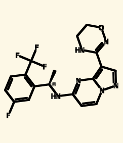 C[C@@H](Nc1ccn2ncc(C3=NOCCN3)c2n1)c1cc(F)ccc1C(F)(F)F